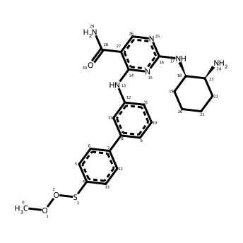 COOSc1ccc(-c2cccc(Nc3nc(N[C@@H]4CCCC[C@@H]4N)ncc3C(N)=O)c2)cc1